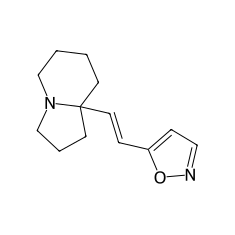 C(=C\C12CCCCN1CCC2)/c1ccno1